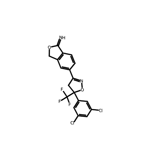 N=C1OCc2cc(C3=NOC(c4cc(Cl)cc(Cl)c4)(C(F)(F)F)C3)ccc21